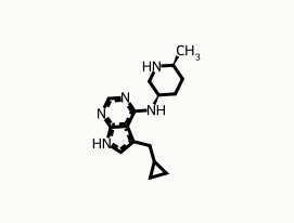 C[C@H]1CC[C@@H](Nc2ncnc3[nH]cc(CC4CC4)c23)CN1